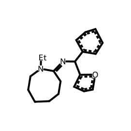 CCN1CCCCCCC1=NC(c1ccccc1)c1ccco1